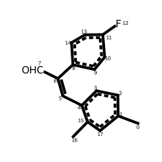 Cc1ccc(C=C(C=O)c2ccc(F)cc2)c(C)c1